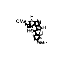 COCC1(C)CNc2cnc3[nH]cc(C(O)c4ccc(OC)cc4Cl)c3c2N1